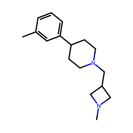 Cc1cccc(C2CCN(CC3CN(C)C3)CC2)c1